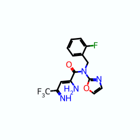 N=C(/C=C(\N)C(=O)N(Cc1ccccc1F)c1ncco1)C(F)(F)F